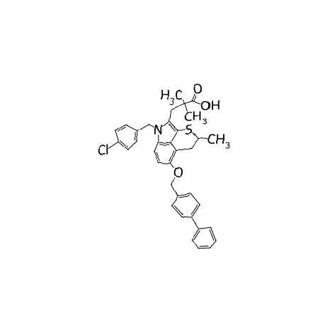 CC1Cc2c(OCc3ccc(-c4ccccc4)cc3)ccc3c2c(c(CC(C)(C)C(=O)O)n3Cc2ccc(Cl)cc2)S1